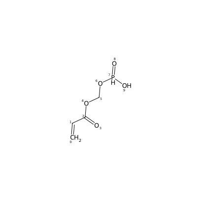 C=CC(=O)OCO[PH](=O)O